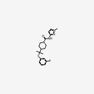 Cn1ccc(NC(=O)N2CCC(C(C)(C)Sc3cccc(F)c3)CC2)n1